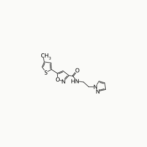 Cc1csc(-c2cc(C(=O)NCCn3cccn3)no2)c1